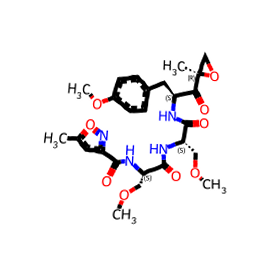 COC[C@H](NC(=O)c1cc(C)on1)C(=O)N[C@@H](COC)C(=O)N[C@@H](Cc1ccc(OC)cc1)C(=O)[C@@]1(C)CO1